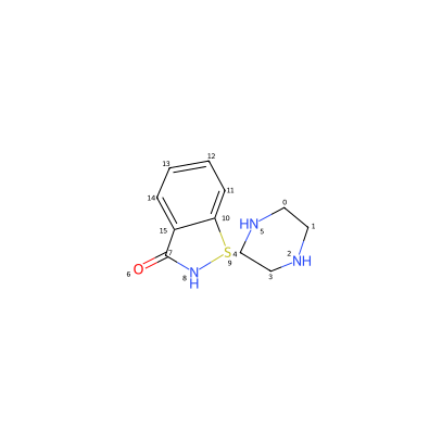 C1CNCCN1.O=c1[nH]sc2ccccc12